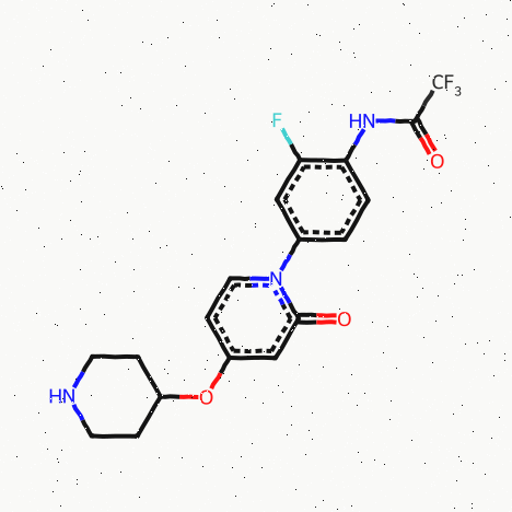 O=C(Nc1ccc(-n2ccc(OC3CCNCC3)cc2=O)cc1F)C(F)(F)F